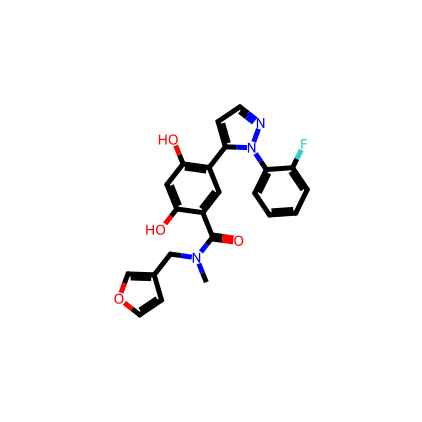 CN(Cc1ccoc1)C(=O)c1cc(-c2ccnn2-c2ccccc2F)c(O)cc1O